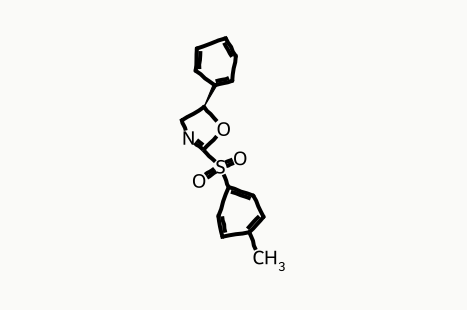 Cc1ccc(S(=O)(=O)C2=NC[C@@H](c3ccccc3)O2)cc1